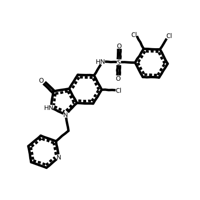 O=c1[nH]n(Cc2ccccn2)c2cc(Cl)c(NS(=O)(=O)c3cccc(Cl)c3Cl)cc12